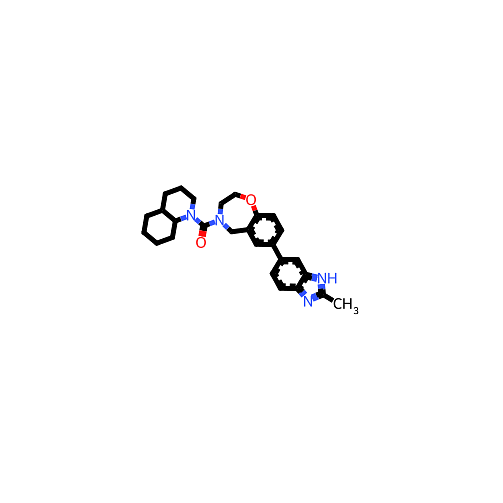 Cc1nc2ccc(-c3ccc4c(c3)CN(C(=O)N3CCCC5CCCCC53)CCO4)cc2[nH]1